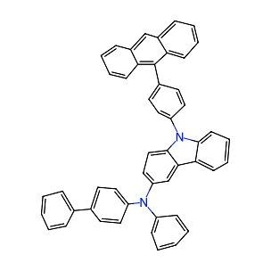 c1ccc(-c2ccc(N(c3ccccc3)c3ccc4c(c3)c3ccccc3n4-c3ccc(-c4c5ccccc5cc5ccccc45)cc3)cc2)cc1